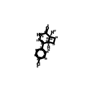 O=C1NN=C(c2ccc(Cl)cc2)[C@@H]2CC[C@H]12